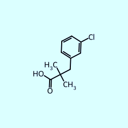 CC(C)(Cc1cccc(Cl)c1)C(=O)O